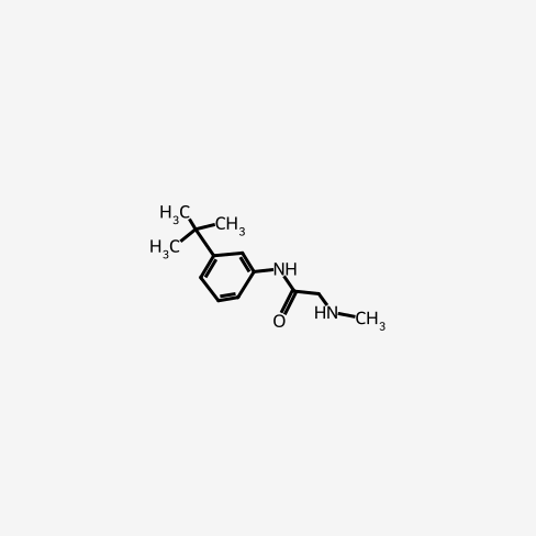 CNCC(=O)Nc1cccc(C(C)(C)C)c1